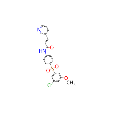 COc1cc(Cl)cc(S(=O)(=O)c2ccc(NC(=O)C=Cc3cccnc3)cc2)c1